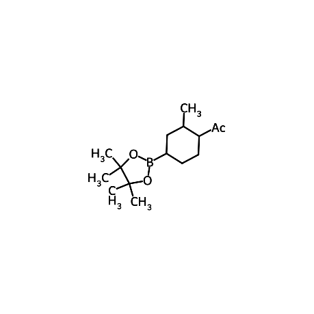 CC(=O)C1CCC(B2OC(C)(C)C(C)(C)O2)CC1C